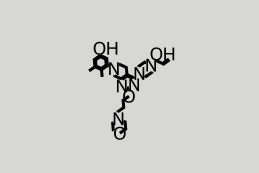 C=CC(O)N1CCN(c2nc(OCCCN3CCOCC3)nc3c2CCN(c2cc(O)cc(C)c2C)C3)CC1